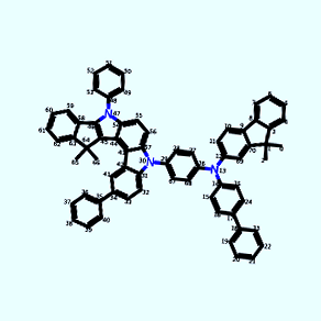 CC1(C)c2ccccc2-c2ccc(N(c3ccc(-c4ccccc4)cc3)c3ccc(-n4c5ccc(-c6ccccc6)cc5c5c6c7c(n(-c8ccccc8)c6ccc54)-c4ccccc4C7(C)C)cc3)cc21